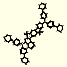 CC1(C)c2cc(N(c3ccc(C4CCCCC4)cc3)c3ccc(C4CCCCC4)cc3)ccc2-c2cc3c(cc21)-c1c(cc(N(c2ccc(C4CCCCC4)cc2)c2ccc(C4CCCCC4)cc2)c2ccccc12)C3(C)C